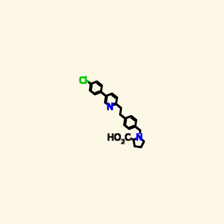 O=C(O)C1CCCN1Cc1ccc(CCc2ccc(-c3ccc(Cl)cc3)cn2)cc1